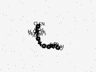 CC1(C)C(NC(=O)c2ccc(N3CC(CN4CCN(c5ccc6c7c(oc6c5)C(=O)N(C5CCC(=O)NC5=O)C7)CC4)C3)cc2)C(C)(C)C1Oc1ccc(C#N)c(Cl)c1